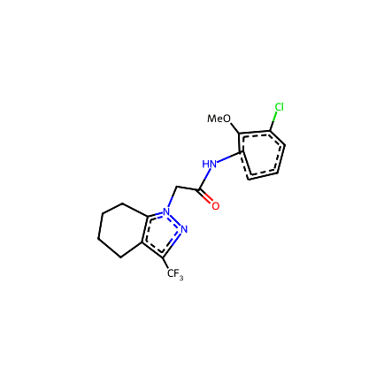 COc1c(Cl)cccc1NC(=O)Cn1nc(C(F)(F)F)c2c1CCCC2